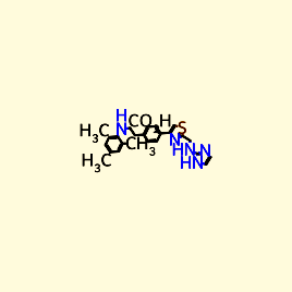 Cc1cc(C)c(NC(Cc2ccc(-c3csc(CNc4ncc[nH]4)n3)cc2)C(=O)O)c(C)c1